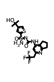 CC(C)(O)c1csc([S@@](N)(=O)=NC(=O)Nc2cc(CC(F)(F)F)nc3c2CCC3)c1